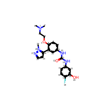 CN(C)CCOc1ccc(NC(=O)Nc2ccc(F)c(O)c2)cc1-c1ccnn1C